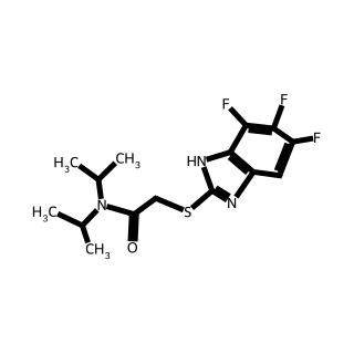 CC(C)N(C(=O)CSc1nc2cc(F)c(F)c(F)c2[nH]1)C(C)C